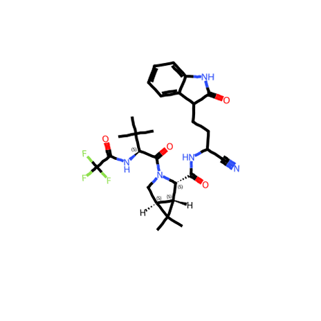 CC(C)(C)[C@H](NC(=O)C(F)(F)F)C(=O)N1C[C@H]2[C@H]([C@H]1C(=O)NC(C#N)CCC1C(=O)Nc3ccccc31)C2(C)C